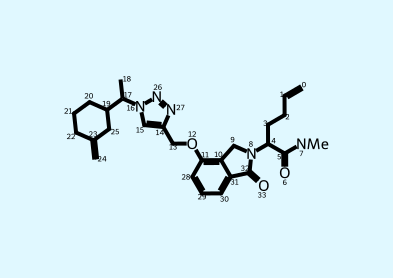 C=CCCC(C(=O)NC)N1Cc2c(OCc3cn(C(C)C4CCCC(=C)C4)nn3)cccc2C1=O